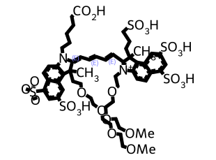 COCCOCCOCCOCCC1(C)\C(=C/C=C/C=C/C2=[N+](CCOCCOCCOC)c3ccc4c(S(=O)(=O)O)cc(S(=O)(=O)O)cc4c3C2(C)CCCS(=O)(=O)O)N(CCCCCC(=O)O)c2ccc3c(S(=O)(=O)[O-])cc(S(=O)(=O)O)cc3c21